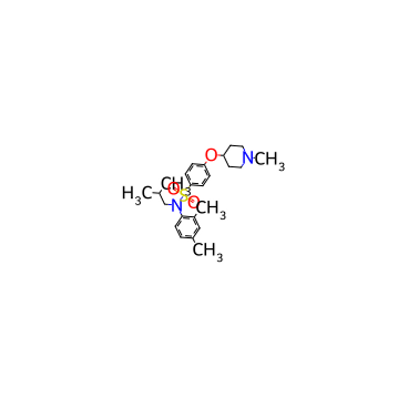 Cc1ccc(N(CC(C)C)S(=O)(=O)c2ccc(OC3CCN(C)CC3)cc2)c(C)c1